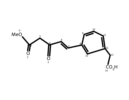 COC(=O)CC(=O)C=Cc1cccc(CC(=O)O)c1